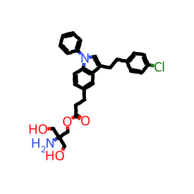 NC(CO)(CO)COC(=O)CCc1ccc2c(c1)c(CCc1ccc(Cl)cc1)cn2-c1ccccc1